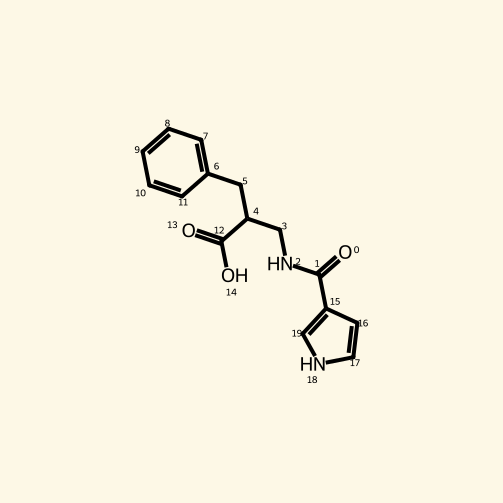 O=C(NCC(Cc1ccccc1)C(=O)O)c1cc[nH]c1